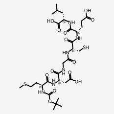 CSCC[C@H](NC(=O)OC(C)(C)C)C(=O)N[C@@H](CC(=O)O)C(=O)NCC(=O)N[C@@H](CS)C(=O)N[C@@H](CCC(=O)O)C(=O)N[C@@H](CC(C)C)C(=O)O